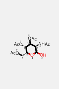 CC(=O)N[C@H]1C(O)O[C@H](COC(C)=O)[C@H](OC(C)=O)C1OC(C)=O